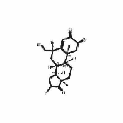 C[C@]12CC(Br)C(=O)C=C1C(Br)(CBr)C[C@@H]1[C@H]2CC[C@]2(C)C(=O)C(F)C[C@@H]12